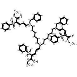 CCCCCCCCOC(=O)/C(=C/C=C/N(CCCCCCN(/C=C/C=C(/C(O)OCCCCCCCC)S(=O)(=O)c1ccccc1)CCCCCCN(/C=C/C=C(\C(=O)OCCCCCCCC)S(=O)(=O)c1ccccc1)Cc1ccccc1)Cc1ccccc1)S(=O)(=O)c1ccccc1